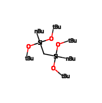 CCCC[Si](C[Si](CCCC)(OC(C)(C)C)OC(C)(C)C)(OC(C)(C)C)OC(C)(C)C